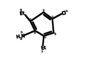 CCc1cc(Cl)cc(CC)c1N